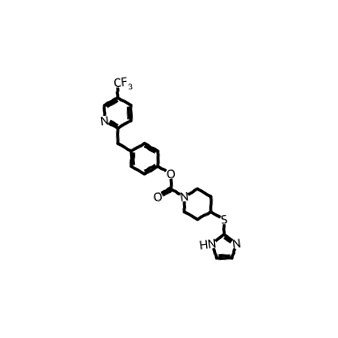 O=C(Oc1ccc(Cc2ccc(C(F)(F)F)cn2)cc1)N1CCC(Sc2ncc[nH]2)CC1